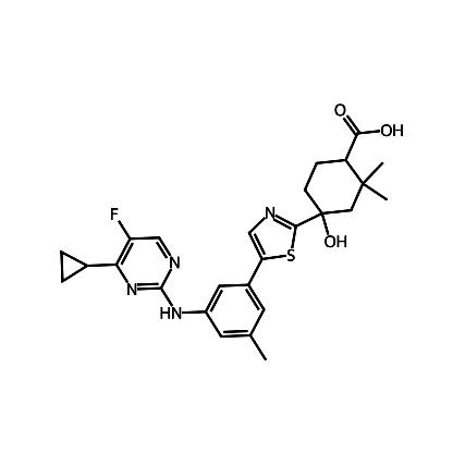 Cc1cc(Nc2ncc(F)c(C3CC3)n2)cc(-c2cnc(C3(O)CCC(C(=O)O)C(C)(C)C3)s2)c1